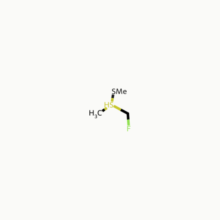 CS[SH](C)CF